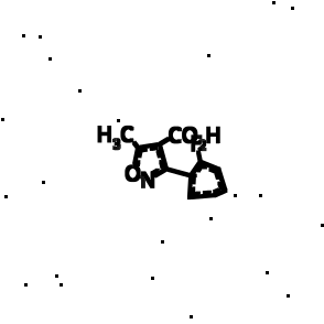 Cc1onc(-c2ccccc2F)c1C(=O)O